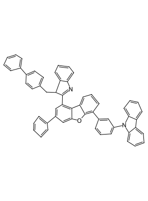 c1ccc(-c2ccc(CC3C(c4cc(-c5ccccc5)cc5oc6c(-c7cccc(-n8c9ccccc9c9ccccc98)c7)cccc6c45)=Nc4ccccc43)cc2)cc1